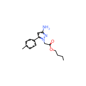 CCCCOC(=O)Cn1nc(N)cc1-c1ccc(C)cc1